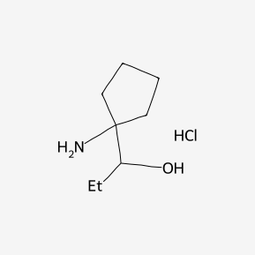 CCC(O)C1(N)CCCC1.Cl